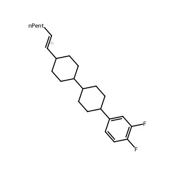 CCCCC/C=C/C1CCC(C2CCC(c3ccc(F)c(F)c3)CC2)CC1